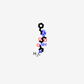 Cn1ccc(C(=O)NC2COC3C2OCC3N2CC(CC3CCCCC3)N=N2)c1